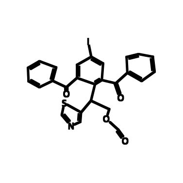 O=COCC(c1cncs1)c1c(C(=O)c2ccccc2)cc(I)cc1C(=O)c1ccccc1